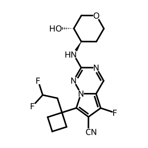 N#Cc1c(F)c2cnc(N[C@@H]3CCOC[C@H]3O)nn2c1C1(CC(F)F)CCC1